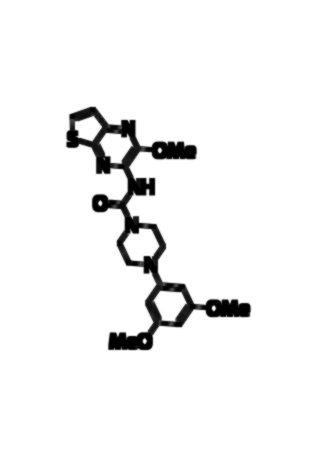 COc1cc(OC)cc(N2CCN(C(=O)Nc3nc4sccc4nc3OC)CC2)c1